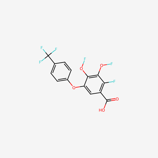 O=C(O)c1cc(Oc2ccc(C(F)(F)F)cc2)c(OF)c(OF)c1F